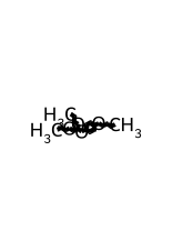 CCCCOc1ccc(OC(COCCC)OCCC)cc1